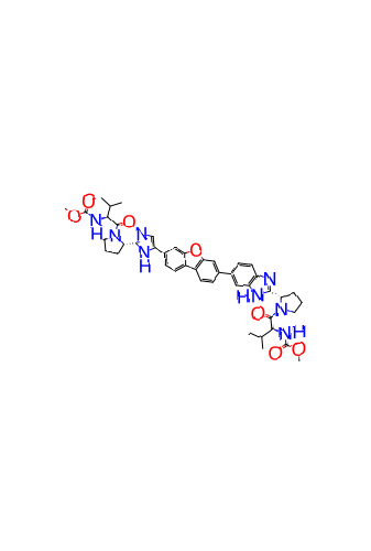 COC(=O)N[C@H](C(=O)N1CCC[C@H]1c1ncc(-c2ccc3c(c2)oc2cc(-c4ccc5nc([C@@H]6CCCN6C(=O)[C@@H](NC(=O)OC)C(C)C)[nH]c5c4)ccc23)[nH]1)C(C)C